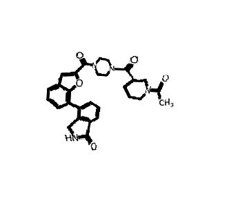 CC(=O)N1CCC[C@@H](C(=O)N2CCN(C(=O)c3cc4cccc(-c5cccc6c5CNC6=O)c4o3)CC2)C1